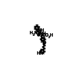 Nc1c(C(=O)NC(Cc2ccc(OCCCCC3CCNCC3)cc2)C(=O)O)[nH]c2ccccc12